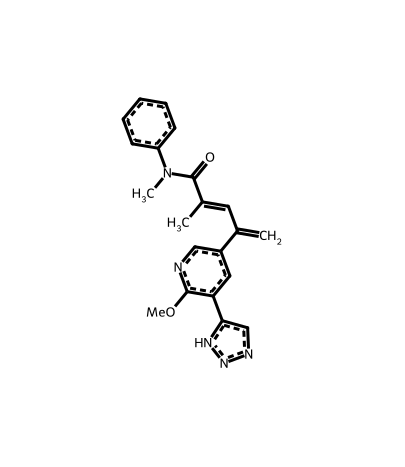 C=C(/C=C(\C)C(=O)N(C)c1ccccc1)c1cnc(OC)c(-c2cnn[nH]2)c1